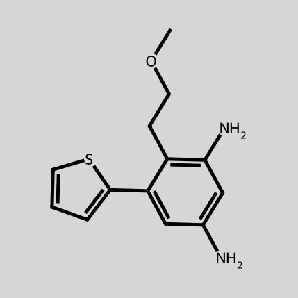 COCCc1c(N)cc(N)cc1-c1cccs1